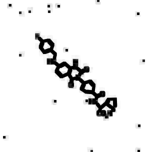 O=C(NC(C(=O)O)c1cccs1)c1ccc(-n2c(=O)[nH]c3cc(NCc4ccc(F)cc4)ccc3c2=O)cc1